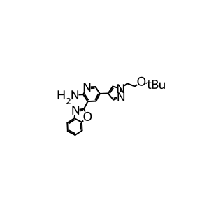 CC(C)(C)OCCn1cc(-c2cnc(N)c(-c3nc4ccccc4o3)c2)cn1